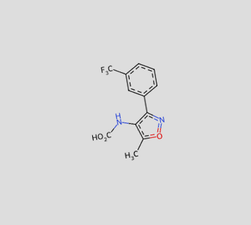 Cc1onc(-c2cccc(C(F)(F)F)c2)c1NC(=O)O